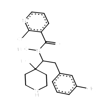 CN(C(=O)c1cccnc1Cl)C(Cc1cccc(C(F)(F)F)c1)C1(O)CCNCC1